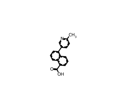 Cc1ccc(-c2cccc3c(C(=O)O)cccc23)cn1